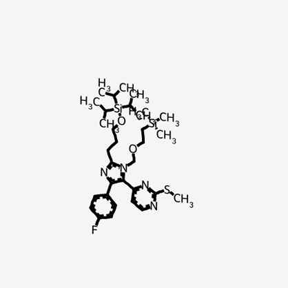 CSc1nccc(-c2c(-c3ccc(F)cc3)nc(CCCO[Si](C(C)C)(C(C)C)C(C)C)n2COCC[Si](C)(C)C)n1